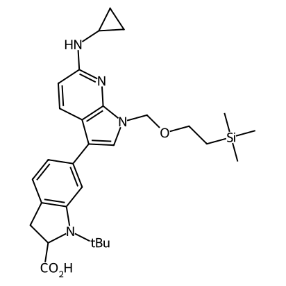 CC(C)(C)N1c2cc(-c3cn(COCC[Si](C)(C)C)c4nc(NC5CC5)ccc34)ccc2CC1C(=O)O